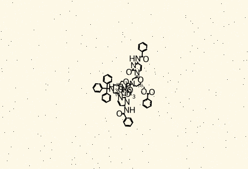 CN(C)[P@](=O)(OC[C@@H]1CN(C(c2ccccc2)(c2ccccc2)c2ccccc2)C[C@H](n2ccc(NC(=O)c3ccccc3)nc2=O)O1)N1C[C@@H](COC(=O)c2ccccc2)O[C@@H](n2ccc(NC(=O)c3ccccc3)nc2=O)C1